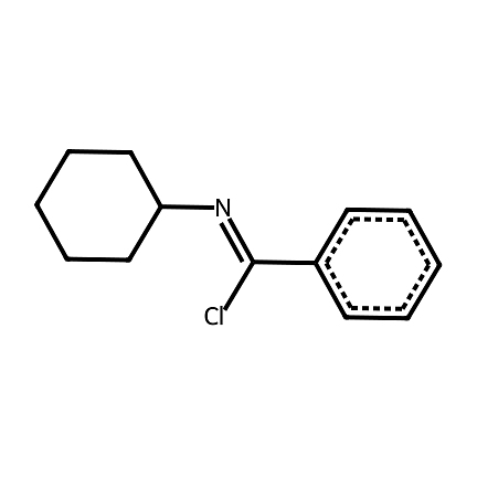 ClC(=NC1CCCCC1)c1ccccc1